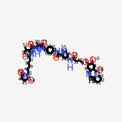 COc1cc2c(cc1OCCCC(=O)Nc1cc(C(=O)Nc3ccc(NC(=O)[C@H](C)NC(=O)[C@@H](NC(=O)CCCCCN4C(=O)C=CC4=O)C(C)C)cc3)n(C)c1)N=C[C@@H]1CCCCN1C2=O